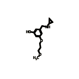 COCCCOc1cc(O)cc(CNC2CC2)c1